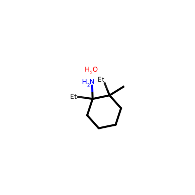 CCC1(C)CCCCC1(N)CC.O